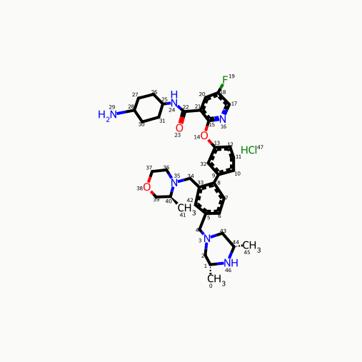 C[C@@H]1CN(Cc2ccc(-c3cccc(Oc4ncc(F)cc4C(=O)NC4CCC(N)CC4)c3)c(CN3CCOC[C@@H]3C)c2)C[C@H](C)N1.Cl